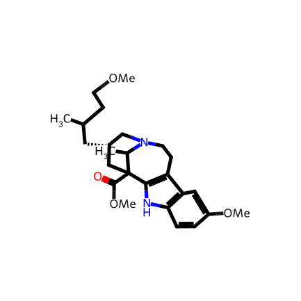 COCCC(C)C[C@@H]1CN2CCc3c([nH]c4ccc(OC)cc34)C(C(=O)OC)(C1)C2C